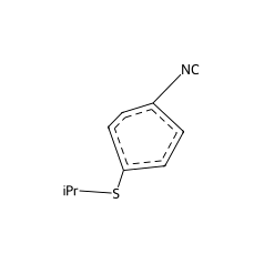 [C-]#[N+]c1ccc(SC(C)C)cc1